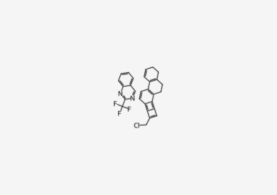 ClCc1cc2c3c4c(ccc3c1-2)C1=C(CCC=C1)CC4.FC(F)(F)c1ncc2ccccc2n1